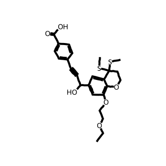 CCOCCOc1cc(C(O)C#Cc2ccc(C(=O)O)cc2)cc2c1OCCC2(SC)SC